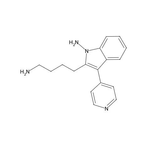 NCCCCc1c(-c2ccncc2)c2ccccc2n1N